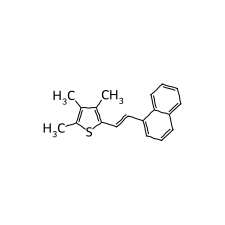 Cc1sc(/C=C/c2cccc3ccccc23)c(C)c1C